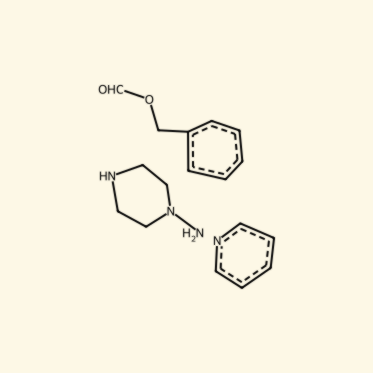 NN1CCNCC1.O=COCc1ccccc1.c1ccncc1